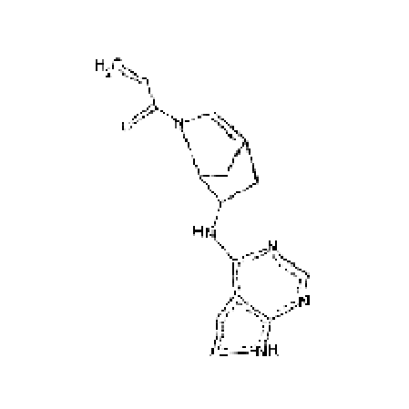 C=CC(=O)N1C=C2CC(Nc3ncnc4[nH]ccc34)C1C2